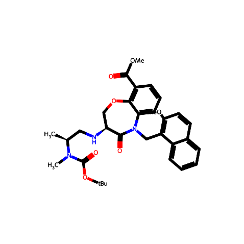 COC(=O)c1cccc2c1OC[C@H](NC[C@H](C)N(C)C(=O)OC(C)(C)C)C(=O)N2Cc1c(OC)ccc2ccccc12